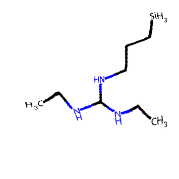 CCNC(NCC)NCCC[SiH3]